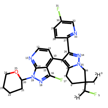 [2H]CC1(C([2H])F)CCc2c(-c3ccnc4c3c(F)nn4C3CCCCO3)c(-c3ccc(F)cn3)nn2C1